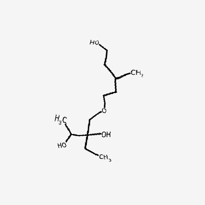 CCC(O)(COCCC(C)CCO)C(C)O